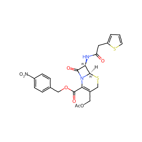 CC(=O)OCC1=C(C(=O)OCc2ccc([N+](=O)[O-])cc2)N2C(=O)[C@@H](NC(=O)Cc3cccs3)[C@H]2SC1